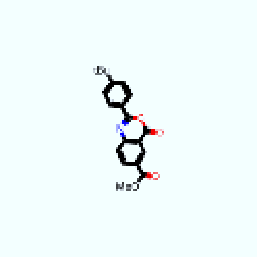 COC(=O)c1ccc2nc(-c3ccc(C(C)(C)C)cc3)oc(=O)c2c1